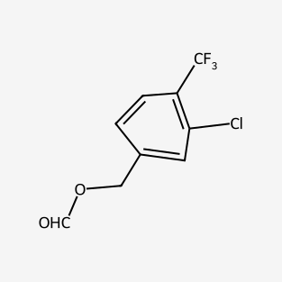 O=COCc1ccc(C(F)(F)F)c(Cl)c1